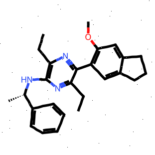 CCc1nc(-c2cc3c(cc2OC)CCC3)c(CC)nc1N[C@@H](C)c1ccccc1